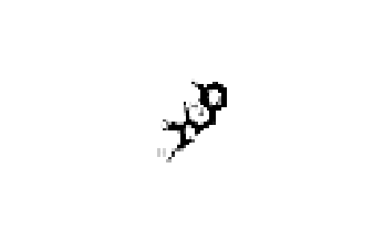 CC1SC(Cc2cccc(F)c2)C(N)C1=O